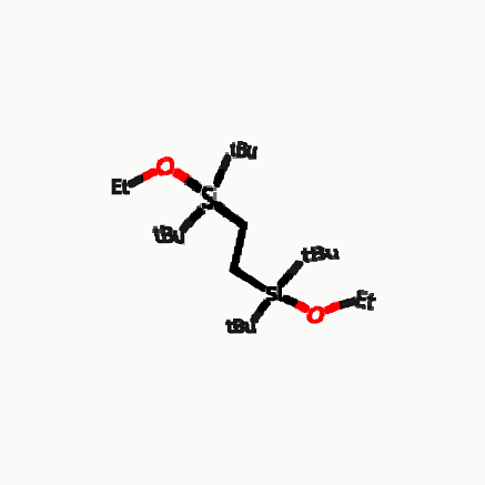 CCO[Si](CC[Si](OCC)(C(C)(C)C)C(C)(C)C)(C(C)(C)C)C(C)(C)C